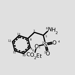 CCOC(=O)OS(=O)(=O)C(N)Cc1ccccc1